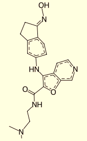 CN(C)CCNC(=O)c1oc2cnccc2c1Nc1ccc2c(c1)CCC2=NO